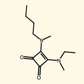 CCCCN(C)c1c(N(C)CC)c(=O)c1=O